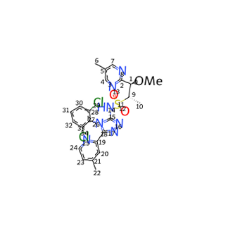 CO[C@H](c1ncc(C)cn1)[C@H](C)S(=O)(=O)Nc1nnc(-c2cc(C)ccn2)n1-c1c(Cl)cccc1Cl